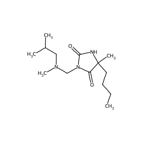 CCCCC1(C)NC(=O)N(CN(C)CC(C)C)C1=O